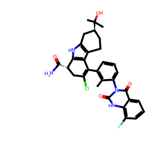 Cc1c(C2=C(Cl)C[C@H](C(N)=O)c3[nH]c4c(c32)CC[C@H](C(C)(C)O)C4)cccc1-n1c(=O)[nH]c2c(F)cccc2c1=O